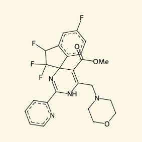 COC(=O)C1=C(CN2CCOCC2)NC(c2ccccn2)=NC12c1ccc(F)cc1C(F)C2(F)F